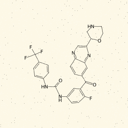 O=C(Nc1ccc(C(F)(F)F)cc1)Nc1ccc(F)c(C(=O)c2ccc3ncc(C4CNCCO4)nc3c2)c1